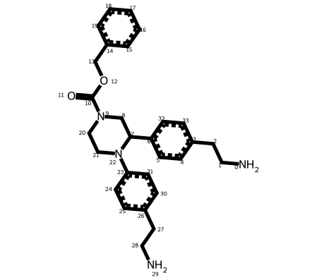 NCCc1ccc(C2CN(C(=O)OCc3ccccc3)CCN2c2ccc(CCN)cc2)cc1